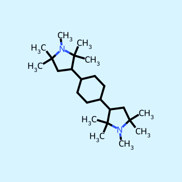 CN1C(C)(C)CC(C2CCC(C3CC(C)(C)N(C)C3(C)C)CC2)C1(C)C